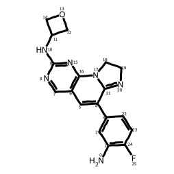 Nc1cc(C2=Cc3cnc(NC4COC4)nc3N3CCN=C23)ccc1F